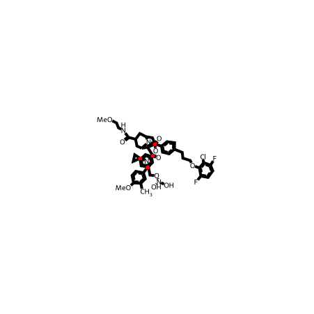 COCCNC(=O)C1CC2CC(c3ccc(CCCOc4c(F)ccc(F)c4Cl)cc3)=C(C(=O)N(Cc3ccc(OC)c(C)c3)C3CC3)C(C1)N2C(=O)Oc1cccc(CON(O)O)c1